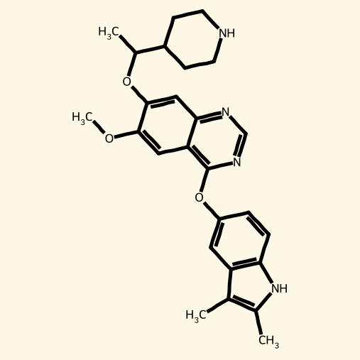 COc1cc2c(Oc3ccc4[nH]c(C)c(C)c4c3)ncnc2cc1OC(C)C1CCNCC1